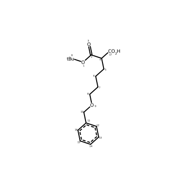 CC(C)(C)OC(=O)C(CCCCOCc1ccccc1)C(=O)O